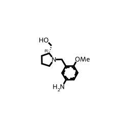 COc1ccc(N)cc1CN1CCC[C@@H]1CO